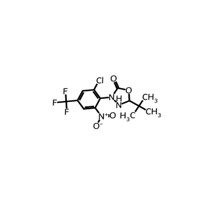 CC(C)(C)C1NN(c2c(Cl)cc(C(F)(F)F)cc2[N+](=O)[O-])C(=O)O1